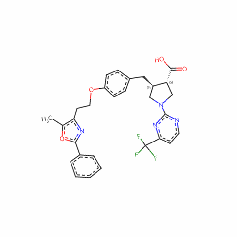 Cc1oc(-c2ccccc2)nc1CCOc1ccc(C[C@@H]2CN(c3nccc(C(F)(F)F)n3)C[C@H]2C(=O)O)cc1